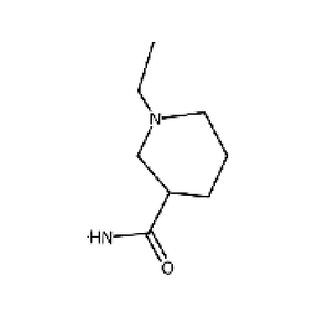 CCN1CCCC(C([NH])=O)C1